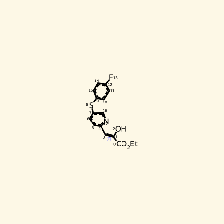 CCOC(=O)/C(O)=C/c1ccc(Sc2ccc(F)cc2)cn1